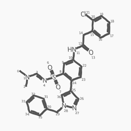 CN(C)C=NS(=O)(=O)c1cc(NC(=O)Cc2ccccc2Cl)ccc1-c1cnn(Cc2ccccc2)c1